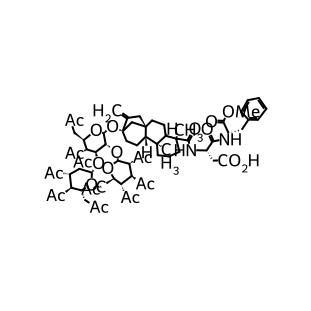 C=C1C[C@@]23CC[C@H]4[C@@](C)(CCC[C@@]4(C)C(=O)N[C@@H](CC(=O)O)C(=O)N[C@@H](Cc4ccccc4)C(=O)OC)[C@@H]2CC[C@]1(O[C@@H]1O[C@H](CC(C)=O)[C@@H](C(C)=O)[C@H](O[C@@H]2O[C@H](CC(C)=O)[C@@H](C(C)=O)[C@H](C(C)=O)[C@H]2C(C)=O)[C@H]1O[C@@H]1O[C@H](CC(C)=O)[C@@H](C(C)=O)[C@H](C(C)=O)[C@H]1C(C)=O)C3